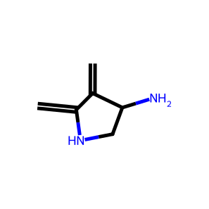 C=C1NCC(N)C1=C